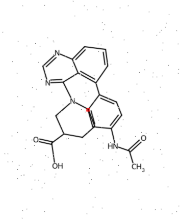 CC(=O)Nc1ccc(-c2cccc3ncnc(N4CCCC(C(=O)O)C4)c23)cc1